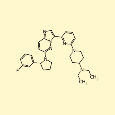 CCN(CC)C1CCN(c2cccc(-c3cnc4ccc(N5CCC[C@@H]5c5cccc(F)c5)nn34)n2)CC1